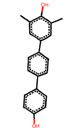 Cc1cc(-c2ccc(-c3ccc(O)cc3)cc2)cc(C)c1O